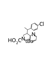 CC(c1ccc(Cl)cc1)C(CN(C(=O)O)C(C)(C)C)c1ccccn1